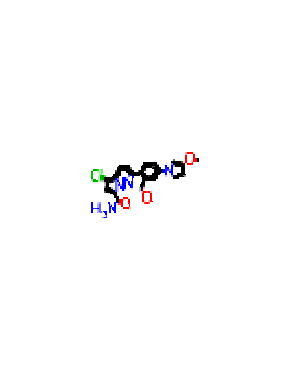 COC1=CN(c2ccc(-c3ccc4c(Cl)cc(C(N)=O)n4n3)c(C=O)c2)CC1